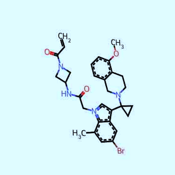 C=CC(=O)N1CC(NC(=O)Cn2cc(C3(N4CCc5c(cccc5OC)C4)CC3)c3cc(Br)cc(C)c32)C1